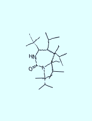 CC(C)C1C(C(C)(C)C)NC(=O)N(C(C)(C)C(C)C)C(C)(C(C)C)C1(C)C(C)C